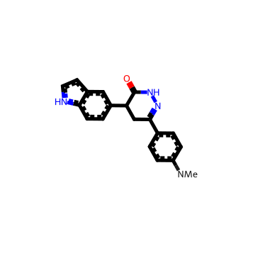 CNc1ccc(C2=NNC(=O)C(c3ccc4[nH]ccc4c3)C2)cc1